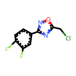 Fc1ccc(-c2noc(CCl)n2)cc1F